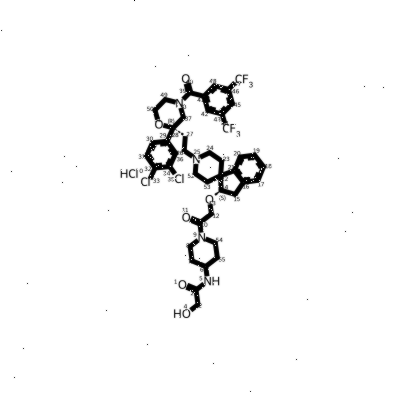 Cl.O=C(CO)NC1CCN(C(=O)CO[C@H]2Cc3ccccc3C23CCN(CC[C@@]2(c4ccc(Cl)c(Cl)c4)CN(C(=O)c4cc(C(F)(F)F)cc(C(F)(F)F)c4)CCO2)CC3)CC1